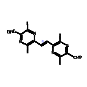 Cc1nc(/C=C/c2nc(C)c(C=O)nc2C)c(C)nc1C=O